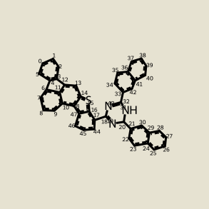 c1ccc2c(c1)-c1cccc3c1c-2cc1sc2c(C4=NC(c5ccc6ccccc6c5)NC(c5ccc6ccccc6c5)=N4)cccc2c13